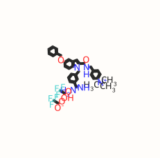 C[N+](C)(C)c1ccc(CNC(=O)c2cc3cc(OCc4ccccc4)ccc3n2Cc2cccc(C(=N)N)c2)cc1.O=C(O)C(F)(F)F.O=C([O-])C(F)(F)F